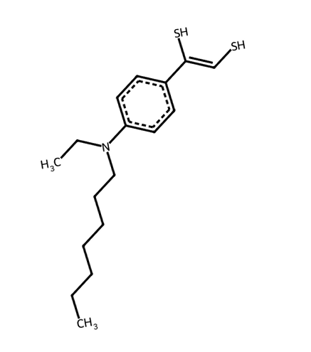 CCCCCCCN(CC)c1ccc(C(S)=CS)cc1